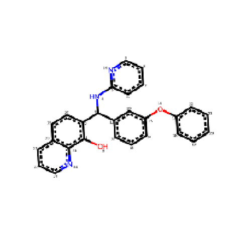 Oc1c(C(Nc2ccccn2)c2cccc(Oc3ccccc3)c2)ccc2cccnc12